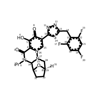 CC(C)N1C(=O)c2c(O)c(=O)c(-c3nnc(Cc4c(F)cc(F)cc4F)s3)cn2N2C[C@H]3CCC(O3)C12